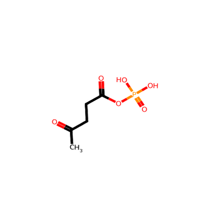 CC(=O)CCC(=O)OP(=O)(O)O